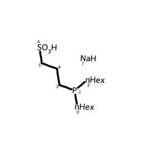 CCCCCCP(CCCCCC)CCCS(=O)(=O)O.[NaH]